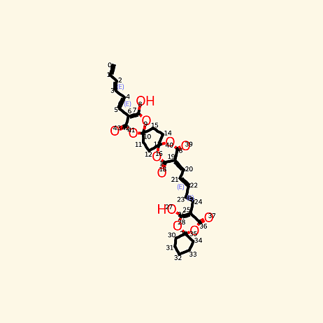 C=C/C=C/C=C/C1=C(O)OC2(CCC3(CC2)OC(=O)C(=C/C=C/C=C/C2=C(O)OC4(CCCCC4)OC2=O)C(=O)O3)OC1=O